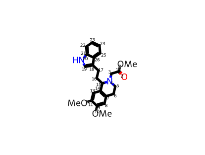 COC(=O)CN1CCc2cc(OC)c(OC)cc2C1CCc1c[nH]c2ccccc12